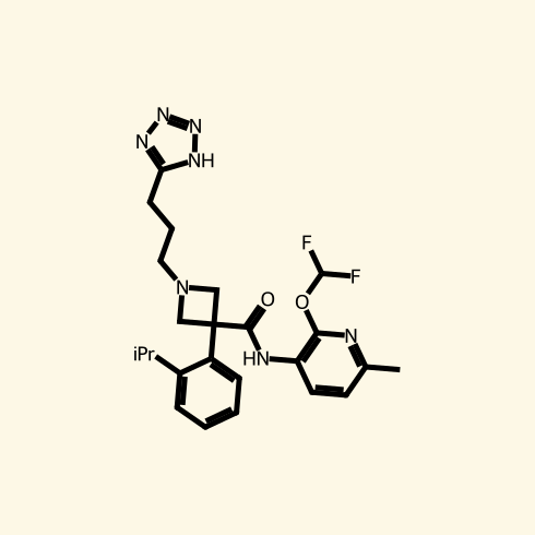 Cc1ccc(NC(=O)C2(c3ccccc3C(C)C)CN(CCCc3nnn[nH]3)C2)c(OC(F)F)n1